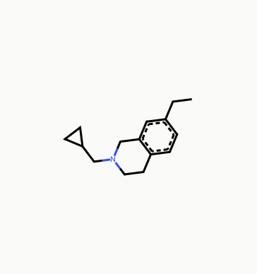 CCc1ccc2c(c1)CN(CC1CC1)CC2